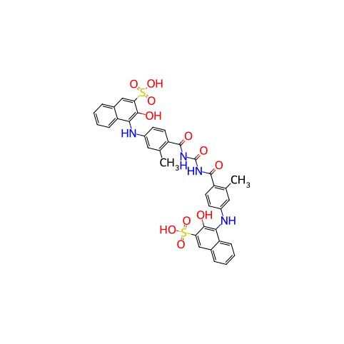 Cc1cc(Nc2c(O)c(S(=O)(=O)O)cc3ccccc23)ccc1C(=O)NC(=O)NC(=O)c1ccc(Nc2c(O)c(S(=O)(=O)O)cc3ccccc23)cc1C